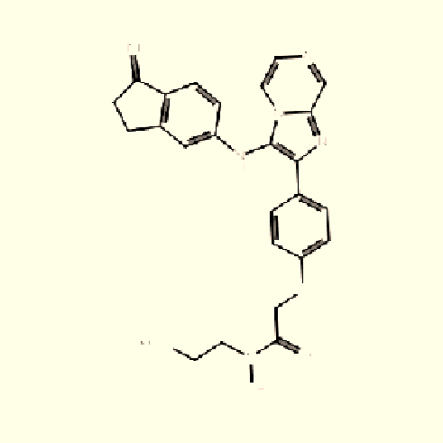 COCCN(C)C(=O)COc1ccc(-c2nc3cnccn3c2Nc2ccc3c(c2)CCC3=N)cc1